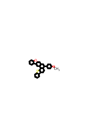 COc1ccc(-c2cc3cc4oc5ccccc5c4cc3c3c2ccc2c4ccccc4sc23)cc1